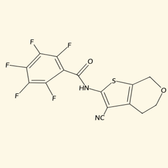 N#Cc1c(NC(=O)c2c(F)c(F)c(F)c(F)c2F)sc2c1CCOC2